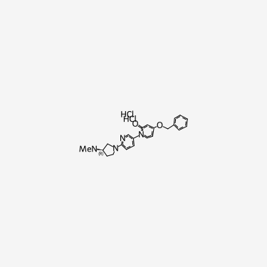 CN[C@@H]1CCN(c2ccc(-n3ccc(OCc4ccccc4)cc3=O)cn2)C1.Cl.Cl